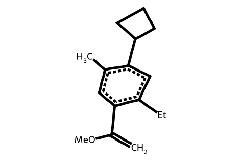 C=C(OC)c1cc(C)c(C2CCC2)cc1CC